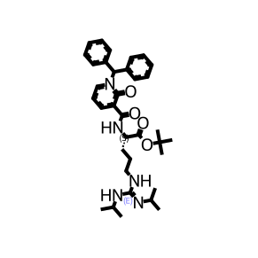 CC(C)/N=C(\NCCC[C@H](NC(=O)c1cccn(C(c2ccccc2)c2ccccc2)c1=O)C(=O)OC(C)(C)C)NC(C)C